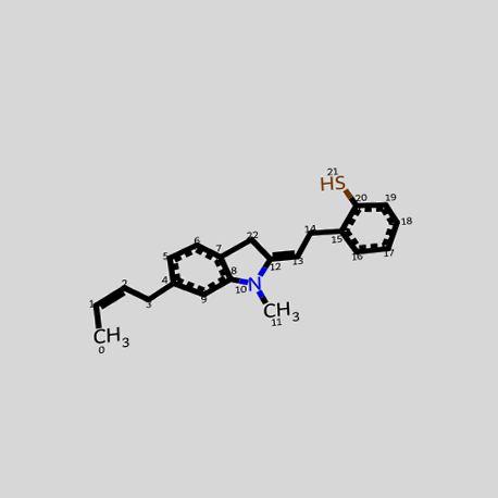 C/C=C\Cc1ccc2c(c1)N(C)/C(=C/Cc1ccccc1S)C2